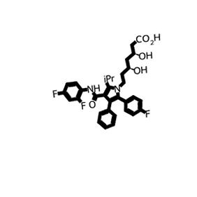 CC(C)c1c(C(=O)Nc2ccc(F)cc2F)c(-c2ccccc2)c(-c2ccc(F)cc2)n1CC[C@@H](O)C[C@@H](O)CC(=O)O